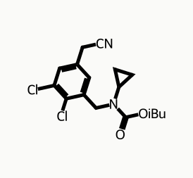 CC(C)COC(=O)N(Cc1cc(CC#N)cc(Cl)c1Cl)C1CC1